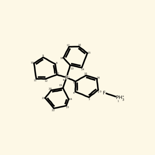 F[PH3+].c1ccc([B-](c2ccccc2)(c2ccccc2)c2ccccc2)cc1